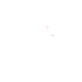 C[C@H](O)C1=C2C=CC=C[C@@H]2C[C@@H]2CCCC=C12